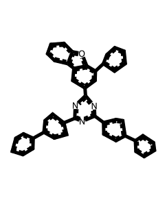 c1ccc(-c2ccc(-c3nc(-c4ccc(-c5ccccc5)cc4)nc(-c4cc(-c5ccccc5)c5oc6ccccc6c5c4)n3)cc2)cc1